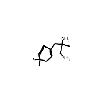 CC1(F)C=CC(CC(C)(N)CN)=CC1